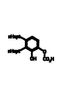 CCCCCCCc1ccc(OC(=O)O)c(O)c1CCCCCCC